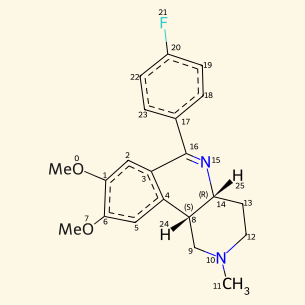 COc1cc2c(cc1OC)[C@H]1CN(C)CC[C@H]1N=C2c1ccc(F)cc1